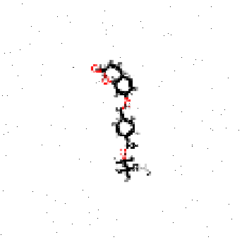 BC(C)(C)C(C)(C)OBc1ccc(COc2ccc3ccc(=O)oc3c2)cc1